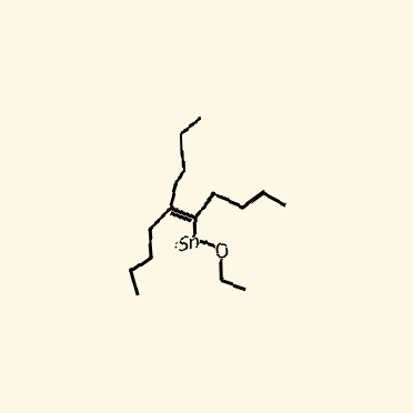 CCCCC(CCCC)=[C](CCCC)[Sn][O]CC